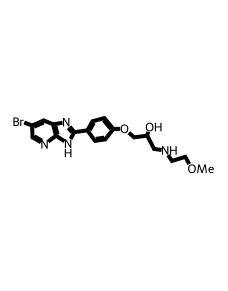 COCCNCC(O)COc1ccc(-c2nc3cc(Br)cnc3[nH]2)cc1